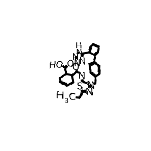 CCc1nn(Cc2ccc(-c3ccccc3-c3nnn[nH]3)cc2)c(=NC(=O)C2CC=CCC2C(=O)O)s1